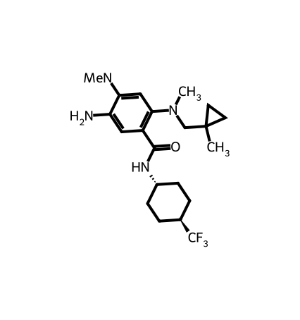 CNc1cc(N(C)CC2(C)CC2)c(C(=O)N[C@H]2CC[C@H](C(F)(F)F)CC2)cc1N